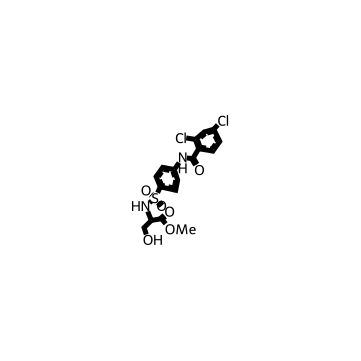 COC(=O)C(CO)NS(=O)(=O)c1ccc(NC(=O)c2ccc(Cl)cc2Cl)cc1